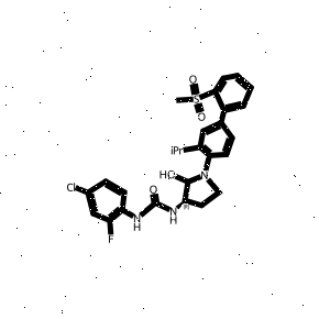 CC(C)c1cc(-c2ccccc2S(C)(=O)=O)ccc1N1CC[C@@H](NC(=O)Nc2ccc(Cl)cc2F)C1O